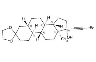 C[C@]12CC[C@H]3[C@@H](CC[C@H]4CC5(CC[C@@H]43)OCCO5)[C@@H]1CC[C@@]2(O)C#CBr